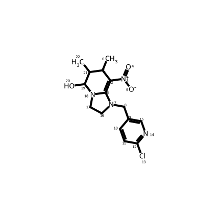 CC1C([N+](=O)[O-])=C2N(Cc3ccc(Cl)nc3)CCN2C(O)C1C